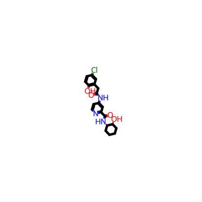 O=C(Cc1cc(Cl)ccc1O)Nc1ccnc(C(=O)N[C@H]2CCCC[C@@H]2O)c1